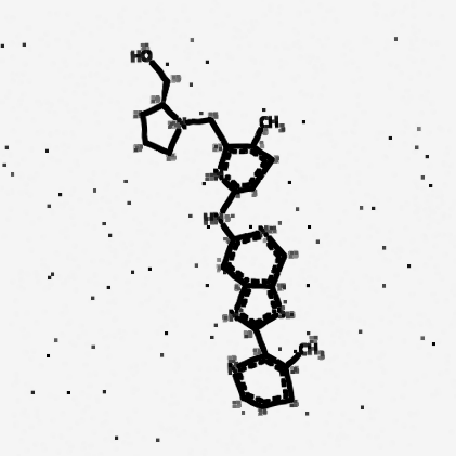 Cc1ccc(Nc2cc3nc(-c4ncccc4C)sc3cn2)nc1CN1CCC[C@H]1CO